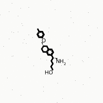 Cc1ccc(OC[C@H]2CCc3cc([C@H](CN)CCCCO)ccc3C2)cc1